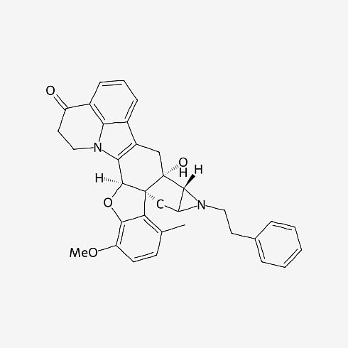 COc1ccc(C)c2c1O[C@H]1c3c(c4cccc5c4n3CCC5=O)C[C@@]3(O)[C@H]4C(C[C@]213)N4CCc1ccccc1